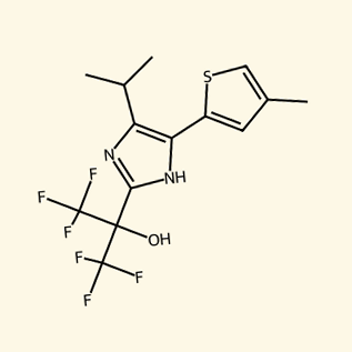 Cc1csc(-c2[nH]c(C(O)(C(F)(F)F)C(F)(F)F)nc2C(C)C)c1